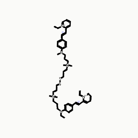 CCN(CCC[N+](C)(C)CCCSSCCC[N+](C)(C)CCCN(C)c1ccc(/C=C/c2cccc[n+]2CC)cc1)c1ccc(/C=C/c2cccc[n+]2CC)cc1